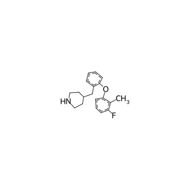 Cc1c(F)cccc1Oc1ccccc1CC1CCNCC1